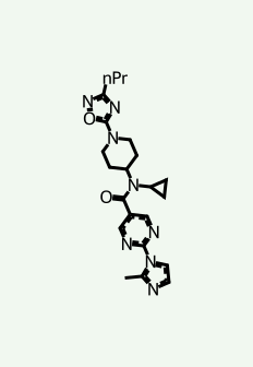 CCCc1noc(N2CCC(N(C(=O)c3cnc(-n4ccnc4C)nc3)C3CC3)CC2)n1